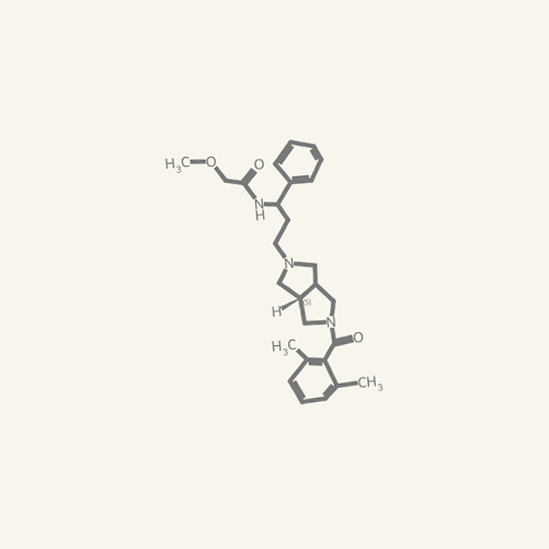 COCC(=O)NC(CCN1CC2CN(C(=O)c3c(C)cccc3C)C[C@@H]2C1)c1ccccc1